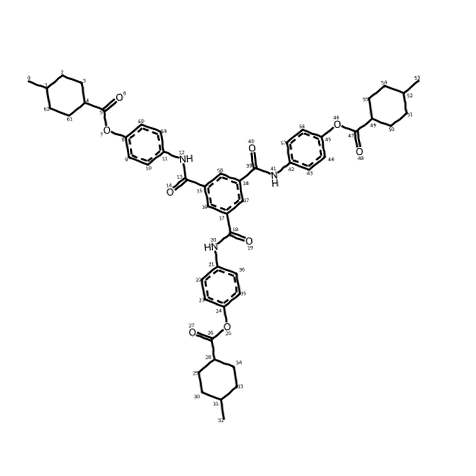 CC1CCC(C(=O)Oc2ccc(NC(=O)c3cc(C(=O)Nc4ccc(OC(=O)C5CCC(C)CC5)cc4)cc(C(=O)Nc4ccc(OC(=O)C5CCC(C)CC5)cc4)c3)cc2)CC1